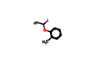 CCCC(I)Oc1ccccc1C